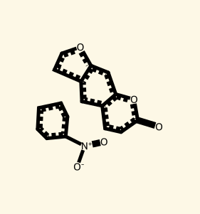 O=[N+]([O-])c1ccccc1.O=c1ccc2cc3ccoc3cc2o1